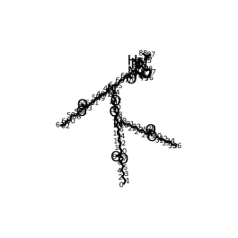 CCCCCCCOC(=O)CCCCCCCCN(CCCCCCCCC(=O)OCCCCCCC)CCOCCOCCN(CCCCCCCCC(=O)OCCCCCCC)CCCCCC(=O)Nc1nc2ccccc2c2c1ncn2CC(C)C